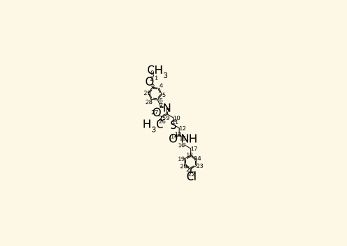 CCOc1ccc(-c2nc(CSCC(=O)NCCc3ccc(Cl)cc3)c(C)o2)cc1